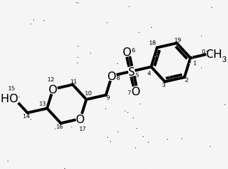 Cc1ccc(S(=O)(=O)OCC2COC(CO)CO2)cc1